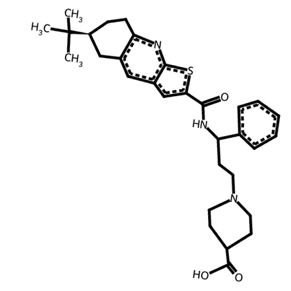 CC(C)(C)[C@H]1CCc2nc3sc(C(=O)NC(CCN4CCC(C(=O)O)CC4)c4ccccc4)cc3cc2C1